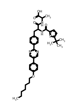 CCCCCCCOc1ccc(-c2cnc(-c3ccc(CC(NC(=O)c4ccc(C(C)(C)C)s4)C(=O)NC(C)C(=O)O)cc3)nc2)cc1